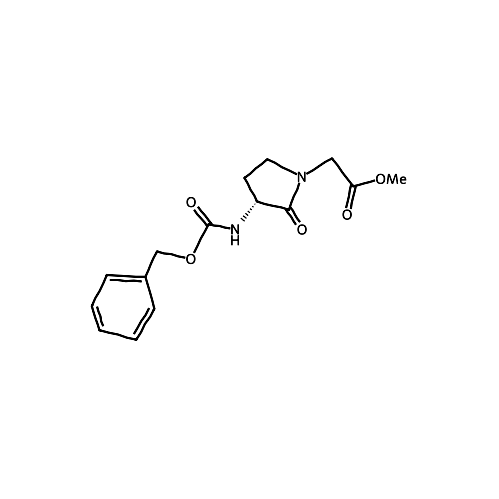 COC(=O)CN1CC[C@@H](NC(=O)OCc2ccccc2)C1=O